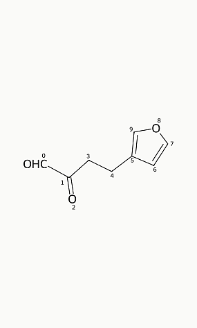 O=CC(=O)CCc1ccoc1